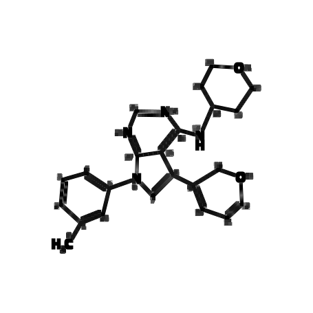 Cc1cccc(-n2cc(C3=CC=COC3)c3c(NC4CCOCC4)ncnc32)c1